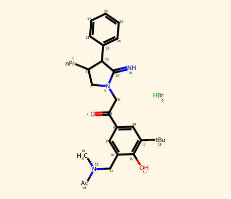 Br.CCCC1CN(CC(=O)c2cc(CN(C)C(C)=O)c(O)c(C(C)(C)C)c2)C(=N)C1c1ccccc1